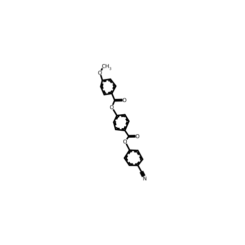 COc1ccc(C(=O)Oc2ccc(C(=O)Oc3ccc(C#N)cc3)cc2)cc1